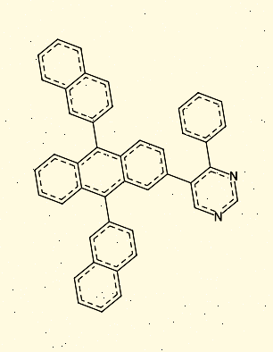 c1ccc(-c2ncncc2-c2ccc3c(-c4ccc5ccccc5c4)c4ccccc4c(-c4ccc5ccccc5c4)c3c2)cc1